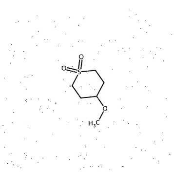 COC1C[C]S(=O)(=O)CC1